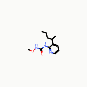 CCCC(C)c1cccnc1NC(=O)NOC